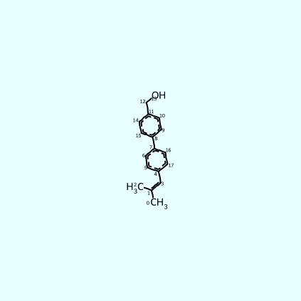 CC(C)=Cc1ccc(-c2ccc(CO)cc2)cc1